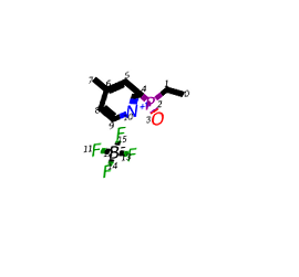 CCP1(=O)c2cc(C)cc[n+]21.F[B-](F)(F)F